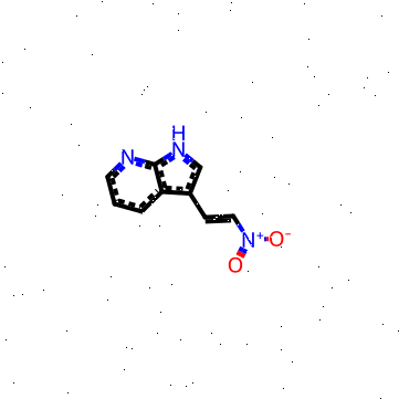 O=[N+]([O-])C=Cc1c[nH]c2ncccc12